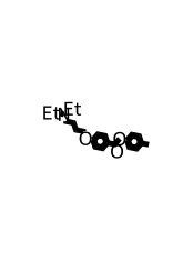 CCN(CC)CCCCOc1ccc(C(=O)Oc2ccc(C)cc2)cc1